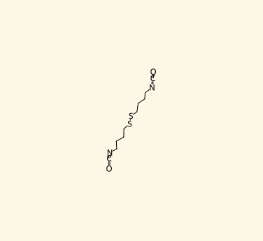 O=C=NCCCCSSCCCCN=C=O